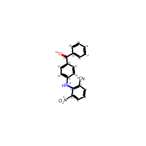 N#Cc1cccc([N+](=O)[O-])c1Nc1ccc(C(=O)c2ccccc2)cc1